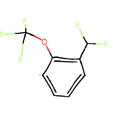 FC(F)c1ccc[c]c1OC(F)(F)F